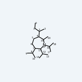 CCC(C)C1CCC(C(C)C)C(C(C)C)N(C(C)C)C1C